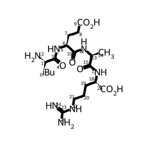 CC[C@H](C)[C@H](N)C(=O)N[C@@H](CCC(=O)O)C(=O)N[C@@H](C)C(=O)N[C@@H](CCCNC(=N)N)C(=O)O